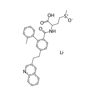 Cc1ccccc1-c1cc(CCc2cnc3ccccc3c2)ccc1C(=O)NC(CC[S+](C)[O-])C(=O)O.[Li]